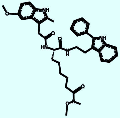 COc1ccc2[nH]c(C)c(CC(=O)N[C@@H](CCCCCC(=O)N(C)OC)C(=O)NCCc3c(-c4ccccc4)[nH]c4ccccc34)c2c1